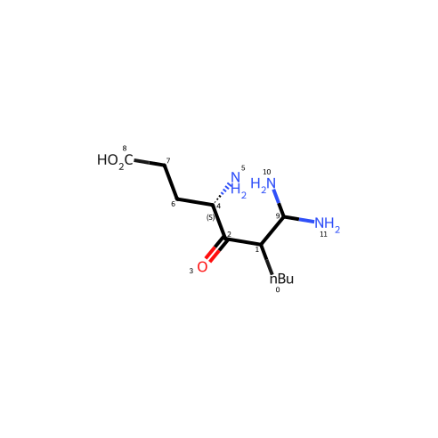 CCCCC(C(=O)[C@@H](N)CCC(=O)O)C(N)N